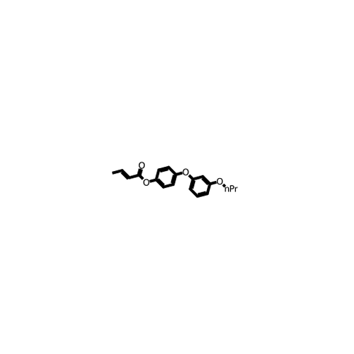 CC=CC(=O)Oc1ccc(Oc2cccc(OCCC)c2)cc1